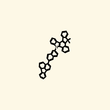 CC1(C)c2ccccc2-c2c1c1ccccc1c1c2c2ccccc2n1-c1ccc2cc(-c3ccc4c5c(cccc35)-c3ccccc3-4)ccc2c1